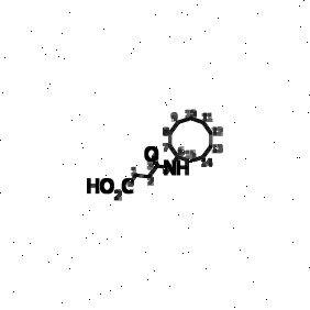 O=C(O)CCC(=O)NC1CCCCCCCCC1